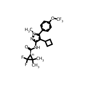 Cn1nc(NC(=O)[C@H]2C(C)(C)C2(F)F)c(C2CCC2)c1-c1ccc(OC(F)(F)F)cc1